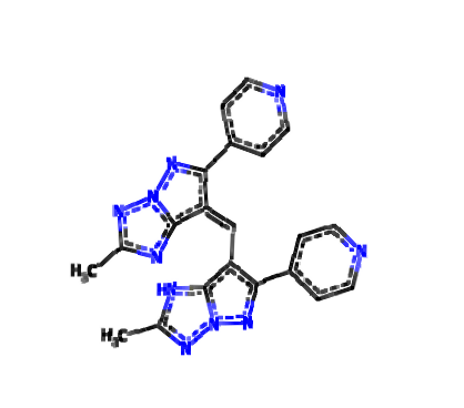 Cc1nc2/c(=C\c3c(-c4ccncc4)nn4nc(C)[nH]c34)c(-c3ccncc3)nn2n1